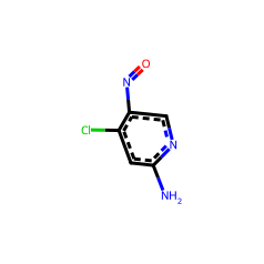 Nc1cc(Cl)c(N=O)cn1